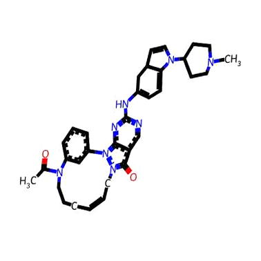 CC(=O)N1CCC/C=C\Cn2c(=O)c3cnc(NC4=CC=C5C(C=CN5C5CCN(C)CC5)C4)nc3n2-c2cccc1c2